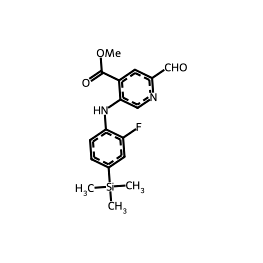 COC(=O)c1cc(C=O)ncc1Nc1ccc([Si](C)(C)C)cc1F